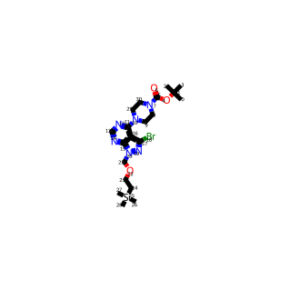 CC(C)(C)OC(=O)N1CCN(c2ncnc3c2c(Br)nn3COCC[Si](C)(C)C)CC1